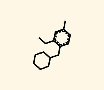 CCc1cc(C)ccc1CC1CCCCC1